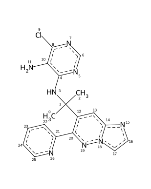 CC(C)(Nc1ncnc(Cl)c1N)c1cc2nccn2nc1-c1ccccn1